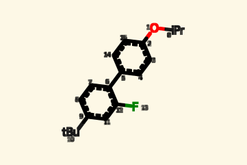 CC(C)Oc1ccc(-c2ccc(C(C)(C)C)cc2F)cc1